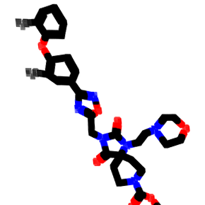 CC(C)(C)OC(=O)N1CCC2(CC1)C(=O)N(Cc1nc(-c3ccc(Oc4ccccc4C(F)(F)F)c(C(F)(F)F)c3)no1)C(=O)N2CCN1CCOCC1